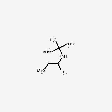 CCCCCCC(C)(CCCCCC)NC(C)COC